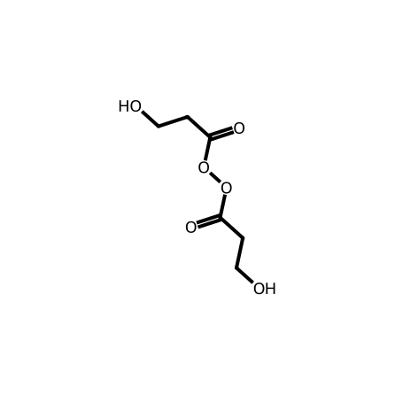 O=C(CCO)OOC(=O)CCO